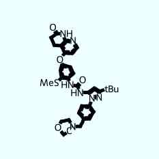 CSc1cc(Oc2ccnc3c2CCC(=O)N3)ccc1NC(=O)Nc1cc(C(C)(C)C)nn1-c1ccc(CN2CCOCC2)cc1